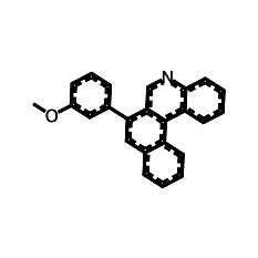 COc1cccc(-c2cc3ccccc3c3c2cnc2ccccc23)c1